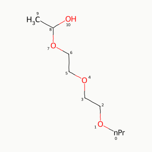 CCCOCCOCCOC(C)O